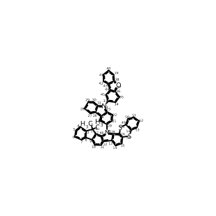 CC1(C)c2ccccc2-c2ccc3c4ccc5c(c4n(-c4ccc6c(c4)c4ccccc4n6-c4ccc6oc7ccccc7c6c4)c3c21)Sc1ccccc1S5